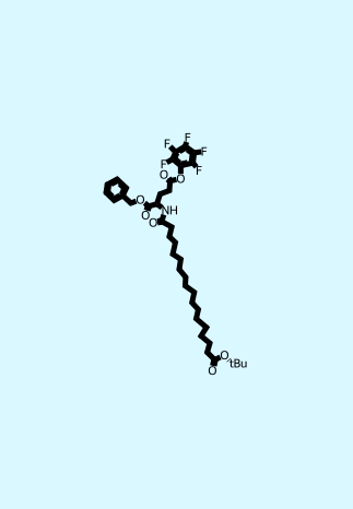 CC(C)(C)OC(=O)CCCCCCCCCCCCCCCCC(=O)NC(CCC(=O)Oc1c(F)c(F)c(F)c(F)c1F)C(=O)OCc1ccccc1